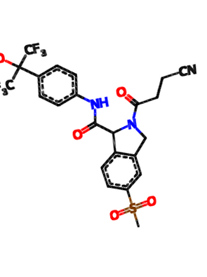 CS(=O)(=O)c1ccc2c(c1)CN(C(=O)CCC#N)C2C(=O)Nc1ccc(C(O)(C(F)(F)F)C(F)(F)F)cc1